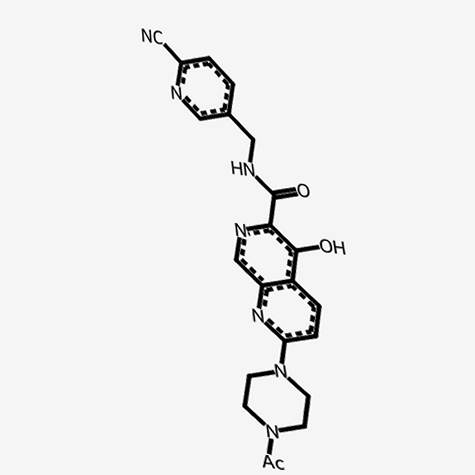 CC(=O)N1CCN(c2ccc3c(O)c(C(=O)NCc4ccc(C#N)nc4)ncc3n2)CC1